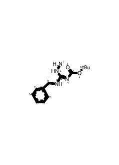 CC(C)(C)OC(=O)/N=C(\NN)NCc1ccccc1